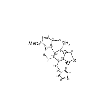 COc1ccc(C)c2c1CCC(C(Cc1ccccc1)C1OCCO1)C2CN